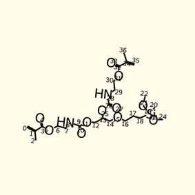 C=C(C)C(=O)OCCNC(=O)OCC(COCCC[Si](C)(OC)OC)OC(=O)NCCOC(=O)C(=C)C